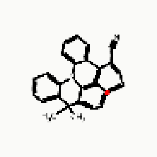 CC1(C)c2ccccc2N(c2ccccc2-c2ccccc2C#N)c2ccccc21